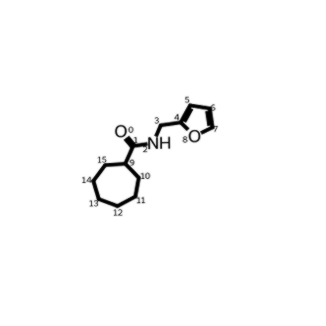 O=C(NCc1ccco1)C1CCCCCC1